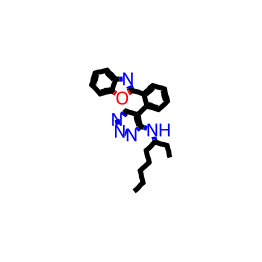 CCCCCC(CC)Nc1nnncc1-c1ccccc1-c1nc2ccccc2o1